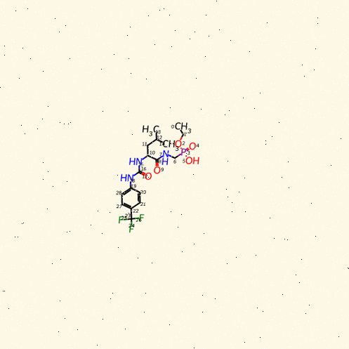 CCOP(=O)(O)CNC(=O)C(CC(C)C)NC(=O)Nc1ccc(C(F)(F)F)cc1